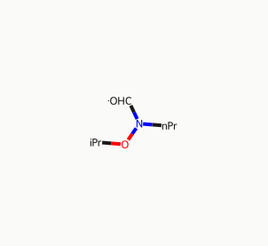 CCCN([C]=O)OC(C)C